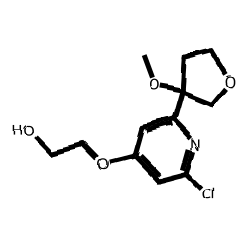 COC1(c2cc(OCCO)cc(Cl)n2)CCOC1